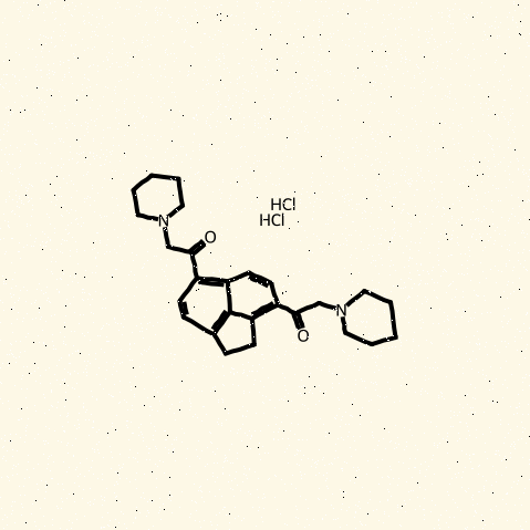 Cl.Cl.O=C(CN1CCCCC1)c1ccc2c(C(=O)CN3CCCCC3)ccc3c2c1CC3